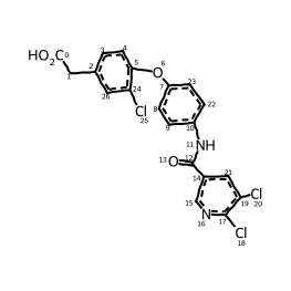 O=C(O)Cc1ccc(Oc2ccc(NC(=O)c3cnc(Cl)c(Cl)c3)cc2)c(Cl)c1